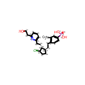 O=[N+]([O-])c1cc(P(=O)(O)O)ccc1CC[C@H]1CCC(Cl)[C@@H]1CCc1cccc(CCO)n1